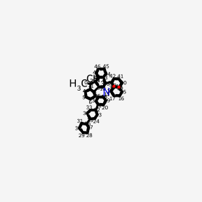 CC1(C)c2ccccc2-c2c(N(c3ccccc3)c3ccc(-c4ccc(-c5ccccc5)cc4)cc3)c(-c3ccccc3)c3ccccc3c21